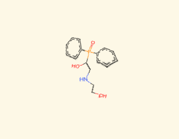 O=P(c1ccccc1)(c1ccccc1)C(O)CNCCO